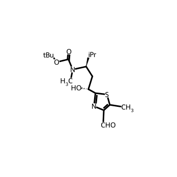 Cc1sc([C@H](O)C[C@H](C(C)C)N(C)C(=O)OC(C)(C)C)nc1C=O